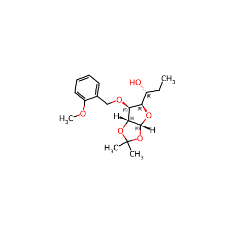 CC[C@@H](O)[C@H]1O[C@@H]2OC(C)(C)O[C@@H]2[C@H]1OCc1ccccc1OC